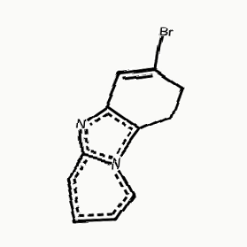 BrC1=Cc2nc3ccccn3c2CC1